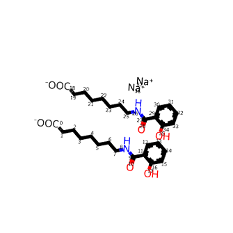 O=C([O-])CCCCCCCNC(=O)c1ccccc1O.O=C([O-])CCCCCCCNC(=O)c1ccccc1O.[Na+].[Na+]